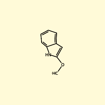 [CH]Oc1cc2ccccc2[nH]1